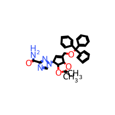 CC1(C)OC2C(COC(c3ccccc3)(c3ccccc3)c3ccccc3)=CC(n3cnc(C(N)=O)n3)C2O1